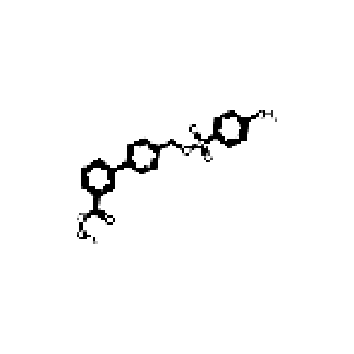 COC(=O)c1cccc(-c2ccc(COS(=O)(=O)c3ccc(C)cc3)cc2)c1